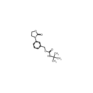 CC(C)(C)NC(=O)OCc1cccc(N2CCOC2=O)c1